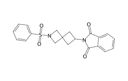 O=C1c2ccccc2C(=O)N1C1CC2(C1)CN(S(=O)(=O)c1ccccc1)C2